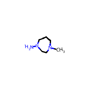 CN1CCCN(N)CC1